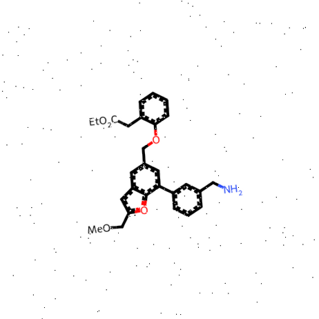 CCOC(=O)Cc1ccccc1OCc1cc(-c2cccc(CN)c2)c2oc(COC)cc2c1